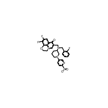 O=c1c(CN(Cc2ccccc2F)C2CCCN(c3ccc([N+](=O)[O-])nc3)C2)cn2c3c(c(F)c(F)cc13)OCC2